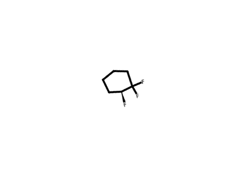 F[C@H]1CCCCC1(F)F